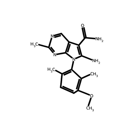 COc1ccc(C)c(-n2c(N)c(C(N)=O)c3cnc(C)nc32)c1C